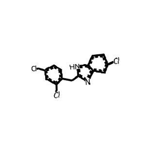 Clc1ccc(Cc2nc3cc(Cl)ccc3[nH]2)c(Cl)c1